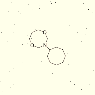 C1CCCC(N2COCCCOC2)CCC1